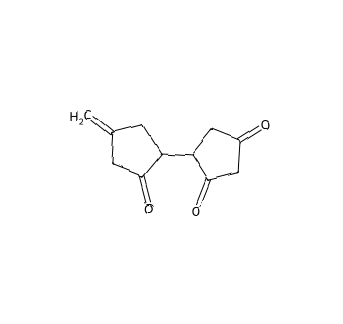 C=C1CC(=O)C(C2CC(=O)CC2=O)C1